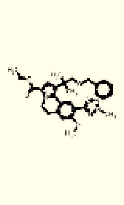 CCOC(=O)c1cc(C(C)(C)COCc2ccccc2)c2n1CCc1cc(OC)c(-c3nnn(C)n3)cc1-2